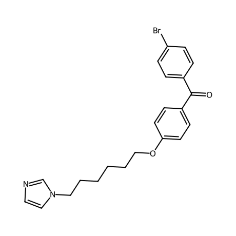 O=C(c1ccc(Br)cc1)c1ccc(OCCCCCCn2ccnc2)cc1